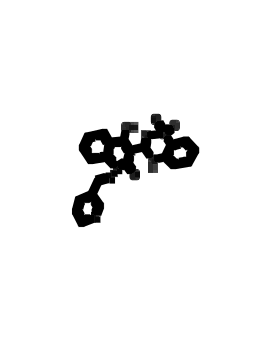 O=c1c(C2=NS(=O)(=O)c3ccccc3N2)c(O)c2ccccc2n1N=Cc1cccnc1